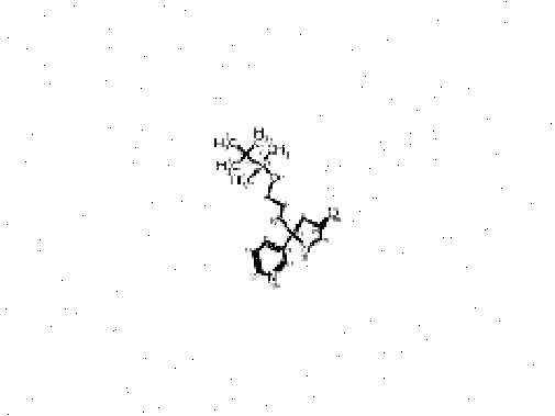 CC(C)(C)[Si](C)(C)OCCCC1(c2cccnc2)CC(=O)CO1